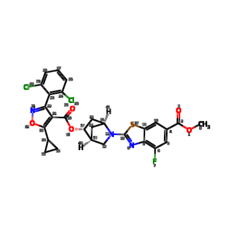 COC(=O)c1cc(F)c2nc(N3C[C@@H]4C[C@H]3C[C@H]4OC(=O)c3c(-c4c(Cl)cccc4Cl)noc3C3CC3)sc2c1